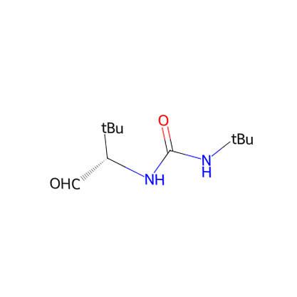 CC(C)(C)NC(=O)N[C@H](C=O)C(C)(C)C